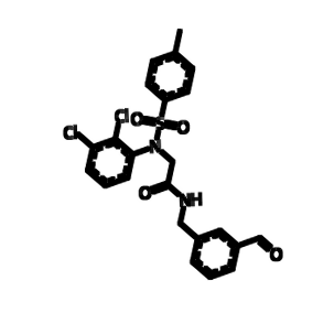 Cc1ccc(S(=O)(=O)N(CC(=O)NCc2cccc(C=O)c2)c2cccc(Cl)c2Cl)cc1